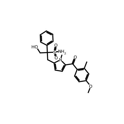 COc1ccc(C(=O)c2ccc(CC(CO)(c3ccccc3)S(N)(=O)=O)n2C)c(C)c1